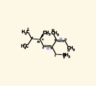 BCC(=C/[C@H](C)C(C)C)/C(C)=C\C